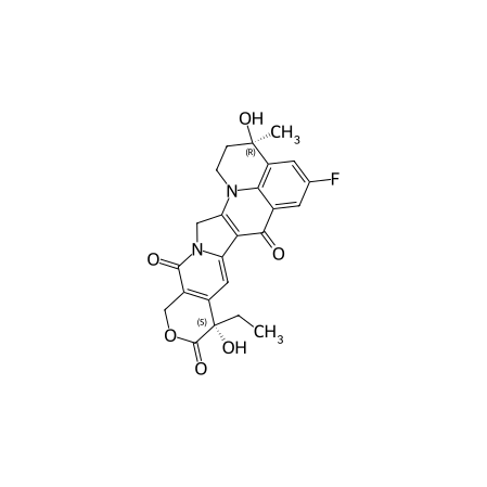 CC[C@@]1(O)C(=O)OCc2c1cc1n(c2=O)Cc2c-1c(=O)c1cc(F)cc3c1n2CC[C@@]3(C)O